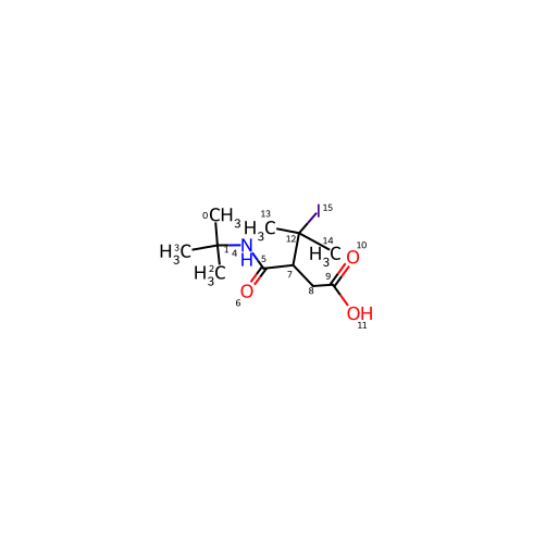 CC(C)(C)NC(=O)C(CC(=O)O)C(C)(C)I